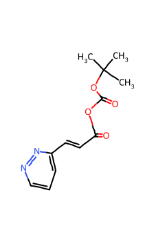 CC(C)(C)OC(=O)OC(=O)/C=C/c1cccnn1